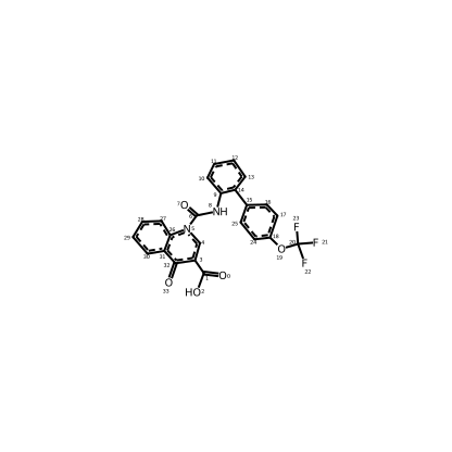 O=C(O)c1cn(C(=O)Nc2ccccc2-c2ccc(OC(F)(F)F)cc2)c2ccccc2c1=O